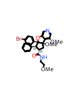 COCCNC(=O)[C@H]1C[C@@]2(OC)c3c(OC)cncc3O[C@@]2(c2ccc(Br)cc2)[C@@H]1c1ccccc1